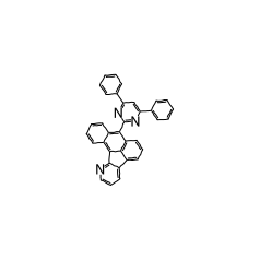 c1ccc(-c2cc(-c3ccccc3)nc(-c3c4ccccc4c4c5c(cccc35)-c3cccnc3-4)n2)cc1